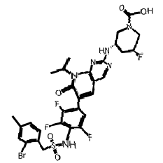 Cc1ccc(CS(=O)(=O)Nc2c(F)cc(-c3cc4cnc(N[C@H]5C[C@H](F)CN(C(=O)O)C5)nc4n(C(C)C)c3=O)c(F)c2F)c(Br)c1